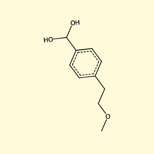 COCCc1ccc(C(O)O)cc1